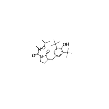 CC(C)ON(C)C(=O)N1CCC(=Cc2cc(C(C)(C)C)c(O)c(C(C)(C)C)c2)C1=O